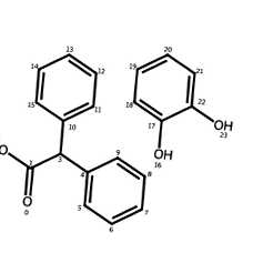 O=C(O)C(c1ccccc1)c1ccccc1.Oc1ccccc1O